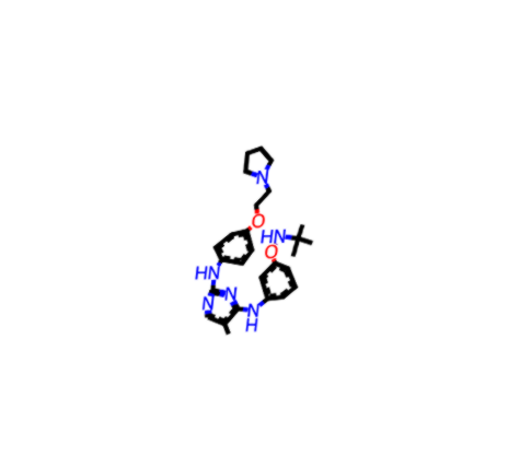 Cc1cnc(Nc2ccc(OCCN3CCCC3)cc2)nc1Nc1cccc(ONC(C)(C)C)c1